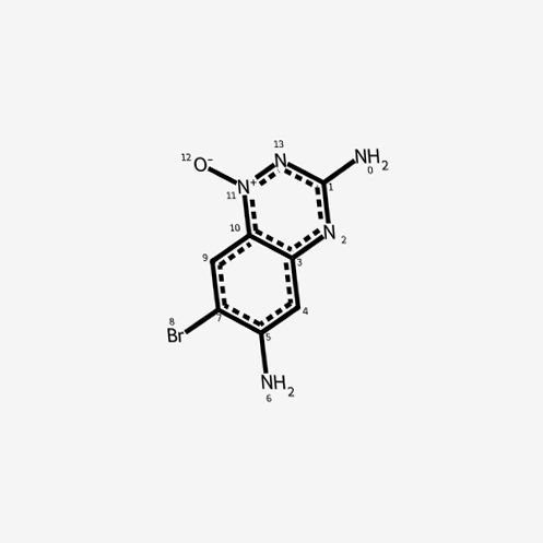 Nc1nc2cc(N)c(Br)cc2[n+]([O-])n1